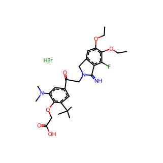 Br.CCOc1cc2c(c(F)c1OCC)C(=N)N(CC(=O)c1cc(N(C)C)c(OCC(=O)O)c(C(C)(C)C)c1)C2